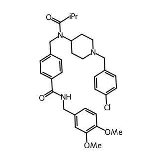 COc1ccc(CNC(=O)c2ccc(CN(C(=O)C(C)C)C3CCN(Cc4ccc(Cl)cc4)CC3)cc2)cc1OC